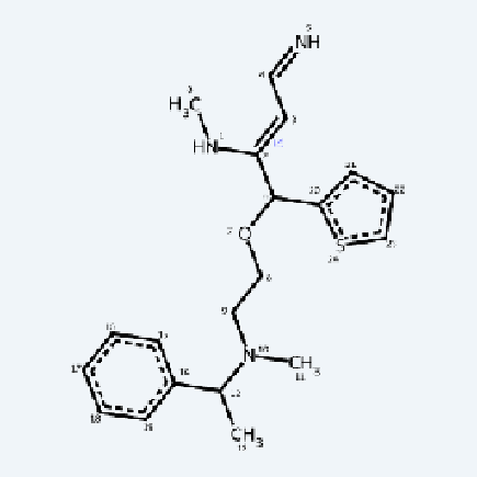 CN/C(=C\C=N)C(OCCN(C)C(C)c1ccccc1)c1cccs1